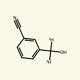 [2H]C([2H])(O)c1cccc(C#N)c1